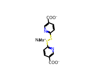 O=C([O-])c1ccc(SSc2ccc(C(=O)[O-])cn2)nc1.[Na+].[Na+]